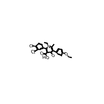 CCOc1ccc(-c2c(C)n(CC)c(-c3ccc(Cl)c(Cl)c3)c(C(=O)O)c2=O)cc1